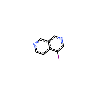 Ic1cncc2cnccc12